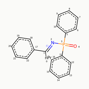 CCC/C(=N\P(=O)(c1ccccc1)c1ccccc1)c1ccccc1